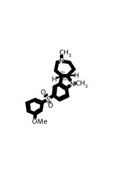 COc1cccc(S(=O)(=O)c2ccc3c(c2)[C@@H]2CCN(C)CC[C@@H]2N3C)c1